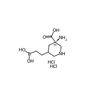 Cl.Cl.N[C@@]1(C(=O)O)CNCC(CCB(O)O)C1